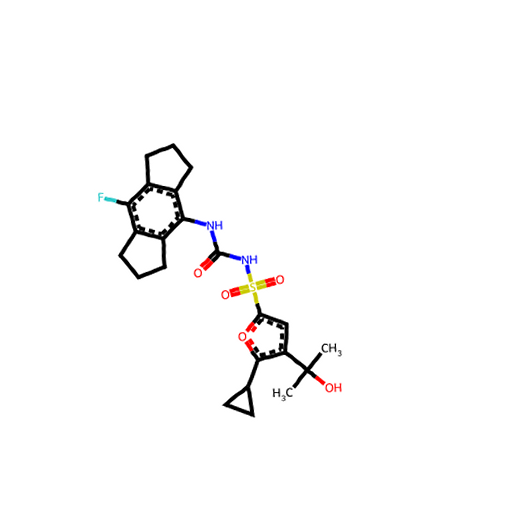 CC(C)(O)c1cc(S(=O)(=O)NC(=O)Nc2c3c(c(F)c4c2CCC4)CCC3)oc1C1CC1